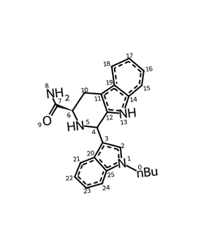 CCCCn1cc(C2N[C@@H](C(N)=O)Cc3c2[nH]c2ccccc32)c2ccccc21